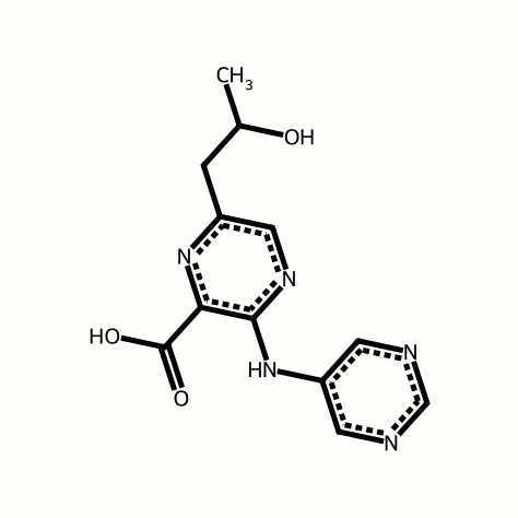 CC(O)Cc1cnc(Nc2cncnc2)c(C(=O)O)n1